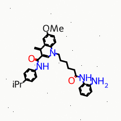 C=C1C(C(=O)Nc2ccc(C(C)C)cc2)=CN(CCCCCC(=O)Nc2ccccc2N)c2ccc(OC)cc21